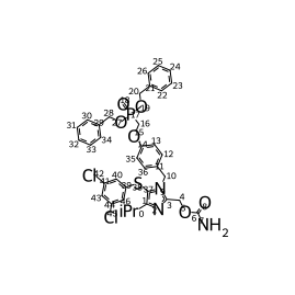 CC(C)c1nc(COC(N)=O)n(Cc2ccc(OCP(=O)(OCc3ccccc3)OCc3ccccc3)cc2)c1Sc1cc(Cl)cc(Cl)c1